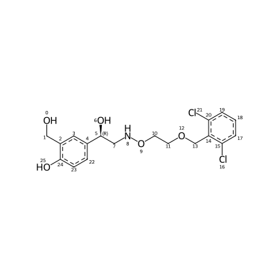 OCc1cc([C@@H](O)CNOCCOCc2c(Cl)cccc2Cl)ccc1O